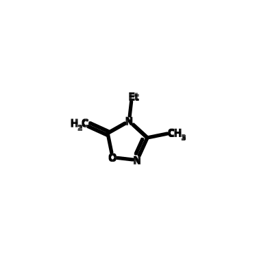 C=C1ON=C(C)N1CC